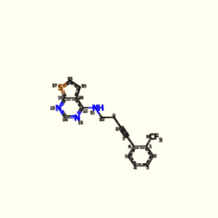 FC(F)(F)c1ccccc1C#CCCNc1ncnc2sccc12